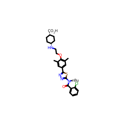 CCCCN(C(=O)c1ccccc1Cl)c1nnc(-c2cc(C)c(OCCN[C@H]3CC[C@@H](C(=O)O)CC3)c(C)c2)s1